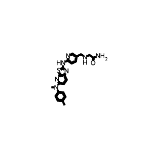 Cc1ccc(N(C)c2ccc3nc(Nc4ccc(CNCC(N)=O)cn4)sc3n2)cc1